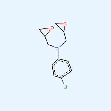 Clc1ccc(N(CC2CO2)CC2CO2)cc1